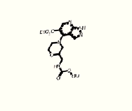 CCOC(=O)c1cnc2[nH]ncc2c1N1CCOC(CNC(=O)OC(C)(C)C)C1